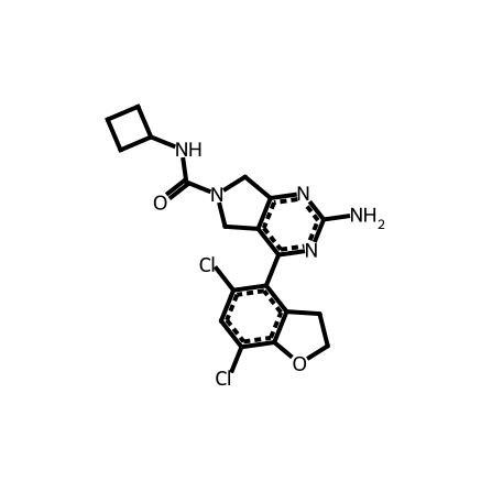 Nc1nc2c(c(-c3c(Cl)cc(Cl)c4c3CCO4)n1)CN(C(=O)NC1CCC1)C2